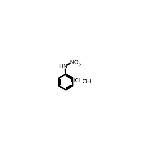 Cl.Cl.O=[N+]([O-])Nc1ccccc1